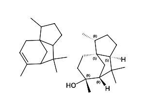 CC1=CCC23CC1C(C)(C)C2CCC3C.C[C@@H]1CC[C@H]2C(C)(C)[C@H]3C[C@@]12CC[C@@]3(C)O